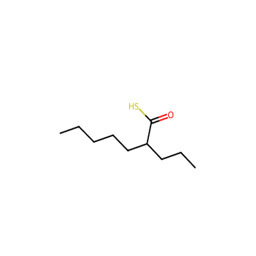 CCCCCC(CCC)C(=O)S